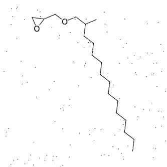 CCCCCCCCCCCCCC(C)COCC1CO1